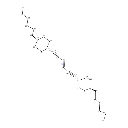 CCCCCC[C@H]1CC[C@H](C#C/C=C/C#C[C@H]2CC[C@H](CCCCCC)CC2)CC1